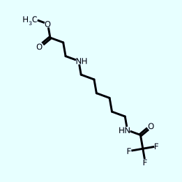 COC(=O)CCNCCCCCCNC(=O)C(F)(F)F